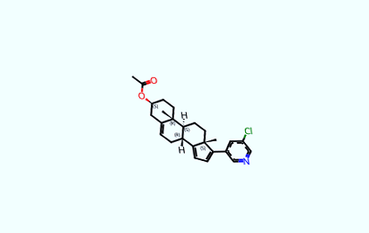 CC(=O)O[C@H]1CC[C@@]2(C)C(=CC[C@H]3C4=CC=C(c5cncc(Cl)c5)[C@@]4(C)CC[C@@H]32)C1